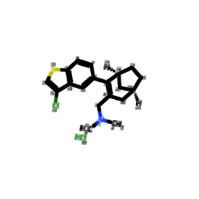 CN(C)CC1=C(c2ccc3scc(Cl)c3c2)[C@H]2CC[C@@H](C1)C2.Cl